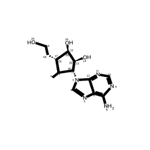 CC1[C@@H](n2cnc3c(N)ncnc32)[C@H](O)[C@H](O)[C@H]1CCO